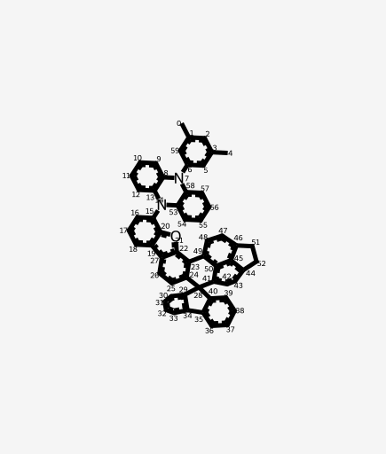 Cc1cc(C)cc(N2c3ccccc3N(c3cccc4c3oc3c5c(ccc34)C3(c4ccccc4-c4ccccc43)c3ccc4c6c(ccc-5c36)CC4)c3ccccc32)c1